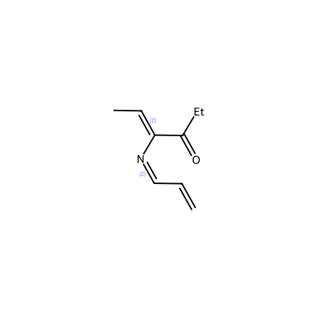 C=C/C=N\C(=C/C)C(=O)CC